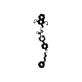 COc1cc(COOC(=O)N2CCC(c3ccc(OCCC=Cc4ccccc4)cc3)CC2)c(OC)c2ccccc12